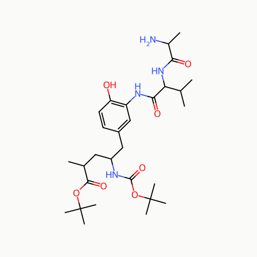 CC(N)C(=O)NC(C(=O)Nc1cc(CC(CC(C)C(=O)OC(C)(C)C)NC(=O)OC(C)(C)C)ccc1O)C(C)C